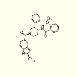 Cn1cc2cc(C(=O)N3CC[C@@H](NC(=O)c4ccccc4OC(F)(F)F)[C@@H](c4ccccc4)C3)ccc2n1